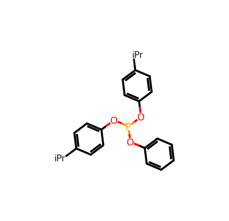 CC(C)c1ccc(OP(Oc2ccccc2)Oc2ccc(C(C)C)cc2)cc1